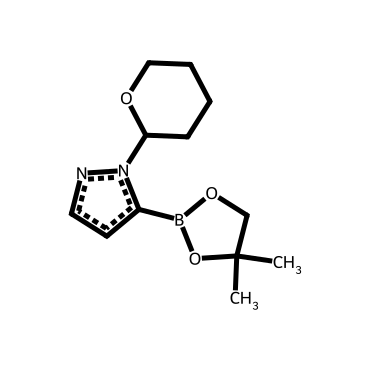 CC1(C)COB(c2ccnn2C2CCCCO2)O1